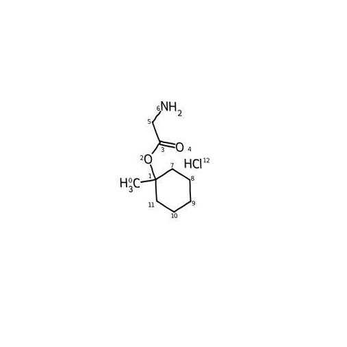 CC1(OC(=O)CN)CCCCC1.Cl